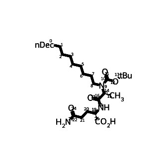 CCCCCCCCCCCCCCCCCCN(C(=O)OC(C)(C)C)[C@H](C)C(=O)N[C@@H](CCC(N)=O)C(=O)O